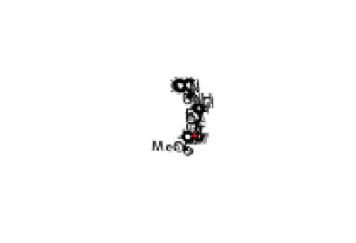 COC(=O)[C@H]1CC[C@H](OC(F)(C(=O)Cc2cc(Cl)c(NC(=O)c3nccc4ccccc34)cc2F)N2CCCC2)CC1